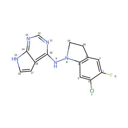 Fc1cc2c(cc1Cl)N(Nc1ncnc3[nH]ccc13)CC2